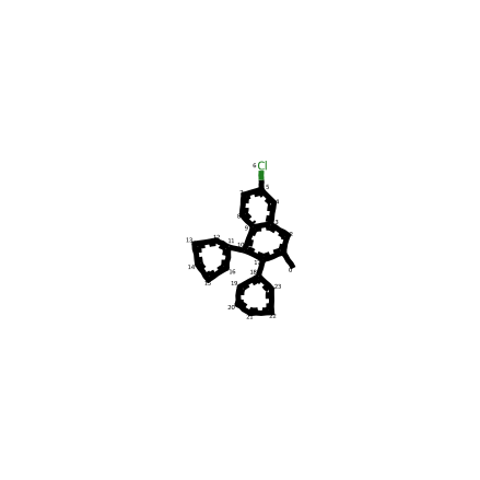 Cc1cc2cc(Cl)ccc2c(-c2ccccc2)c1-c1ccccc1